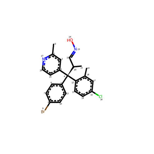 Cc1cc([C@@](c2ccc(Br)cc2)(c2ccc(Cl)cc2C)C(C)/C=N/O)ccn1